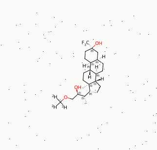 [2H]C([2H])([2H])OC[C@@H](O)[C@@H](C)[C@H]1CC[C@H]2[C@@H]3CC[C@@H]4C[C@@](O)(C(F)(F)F)CC[C@@H]4[C@H]3CC[C@]12C